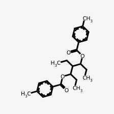 CCC(OC(=O)c1ccc(C)cc1)C(CC)C(CC)OC(=O)c1ccc(C)cc1